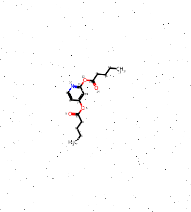 CCCCC(=O)Oc1ccnc(OC(=O)CCCC)c1